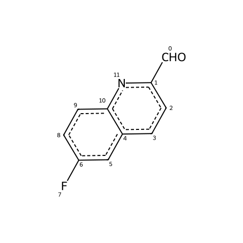 O=Cc1ccc2cc(F)ccc2n1